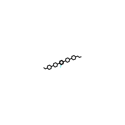 CCCC1CCC(C2CCC(c3ccc(C4CCC(C5CCC(CC)CC5)CC4)c(F)c3)CC2)CC1